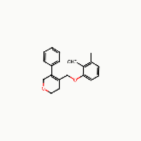 Cc1cccc(OCC2=C(c3ccccc3)COCC2)c1C=O